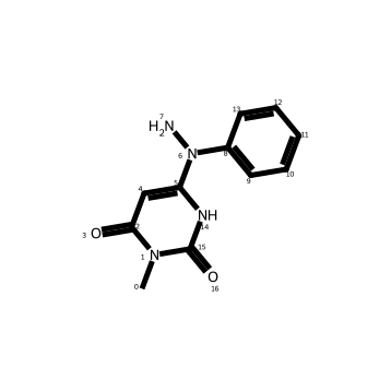 Cn1c(=O)cc(N(N)c2ccccc2)[nH]c1=O